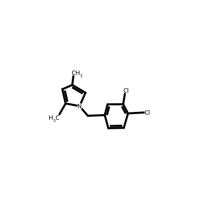 Cc1cc(C)n(Cc2ccc(Cl)c(Cl)c2)c1